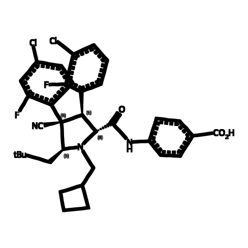 CC(C)(C)C[C@@H]1N(CC2CCC2)[C@@H](C(=O)Nc2ccc(C(=O)O)cc2)[C@H](c2cccc(Cl)c2F)[C@@]1(C#N)c1ccc(Cl)cc1F